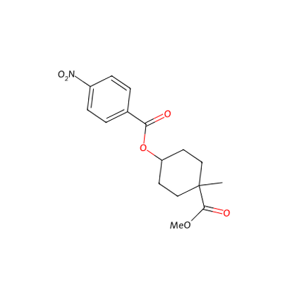 COC(=O)C1(C)CCC(OC(=O)c2ccc([N+](=O)[O-])cc2)CC1